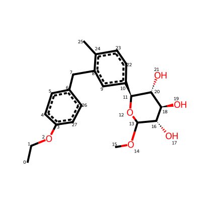 CCOc1ccc(Cc2cc([C@@H]3OC(OC)[C@@H](O)[C@H](O)[C@H]3O)ccc2C)cc1